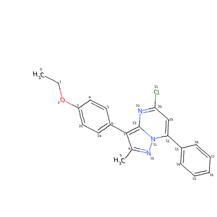 CCOc1ccc(-c2c(C)nn3c(-c4ccccc4)cc(Cl)nc23)cc1